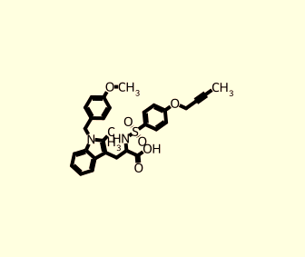 CC#CCOc1ccc(S(=O)(=O)NC(Cc2c(C)n(Cc3ccc(OC)cc3)c3ccccc23)C(=O)O)cc1